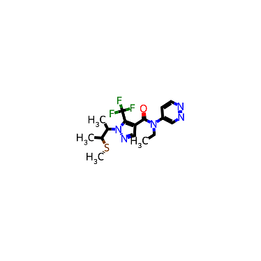 CCN(C(=O)c1cnn(C(C)C(C)SC)c1C(F)(F)F)c1ccnnc1